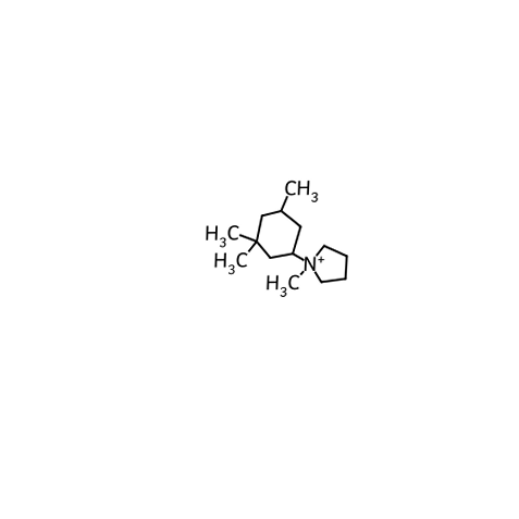 CC1CC([N+]2(C)CCCC2)CC(C)(C)C1